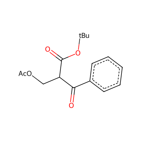 CC(=O)OCC(C(=O)OC(C)(C)C)C(=O)c1ccccc1